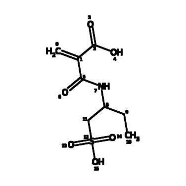 C=C(C(=O)O)C(=O)NC(CC)CS(=O)(=O)O